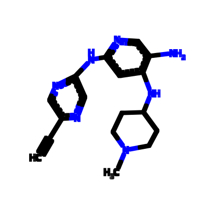 C#Cc1cnc(Nc2cc(NC3CCN(C)CC3)c(N)cn2)cn1